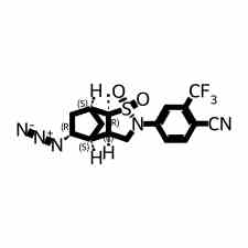 C[C@@]12[C@H]3C[C@H]([C@H](N=[N+]=[N-])C3)[C@@H]1CN(c1ccc(C#N)c(C(F)(F)F)c1)S2(=O)=O